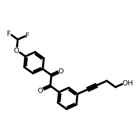 O=C(C(=O)c1cccc(C#CCCO)c1)c1ccc(OC(F)F)cc1